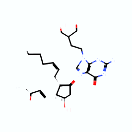 CCCCC[C@H](O)/C=C/[C@H]1[C@H](O)CC(=O)[C@@H]1C/C=C\CCCC(=O)O.Nc1nc(=O)c2ncn(CCC(CO)CO)c2[nH]1